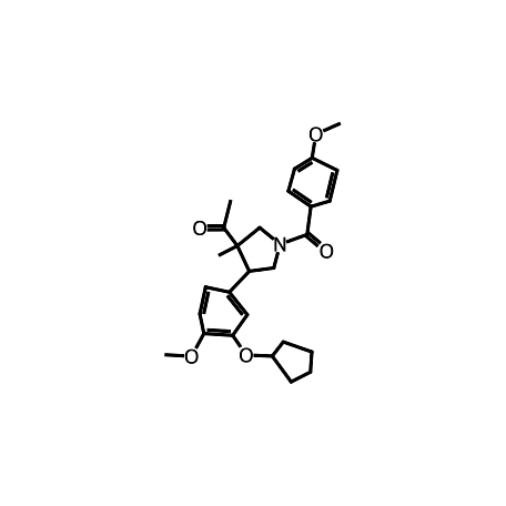 COc1ccc(C(=O)N2CC(c3ccc(OC)c(OC4CCCC4)c3)C(C)(C(C)=O)C2)cc1